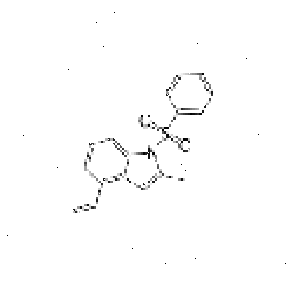 C=Cc1cccc2c1cc(C)n2S(=O)(=O)c1ccccc1